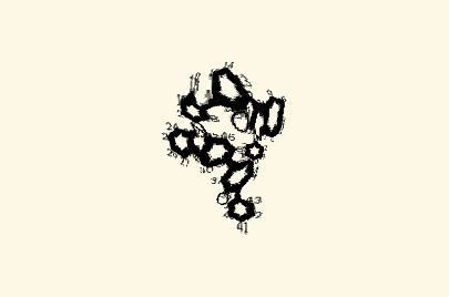 c1ccc(-n2c3ccccc3c3c4cccc(-c5cccc(-n6c7ccccc7c7cc(-c8ccc9c(c8)oc8ccccc89)ccc76)c5)c4oc32)cc1